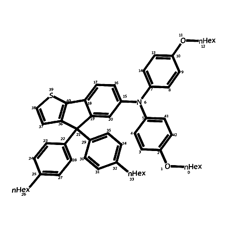 CCCCCCOc1ccc(N(c2ccc(OCCCCCC)cc2)c2ccc3c(c2)C(c2ccc(CCCCCC)cc2)(c2ccc(CCCCCC)cc2)c2ccsc2-3)cc1